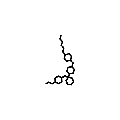 CCCCCCC1CCC(CC2CCC(C3(CC4CCC(CCC)CC4)CCCCC3)CC2)CC1